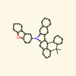 CC1(C)c2ccccc2-c2c3c1cccc3cc1c2c2cc3ccccc3cc2n1-c1ccc2oc3ccccc3c2c1